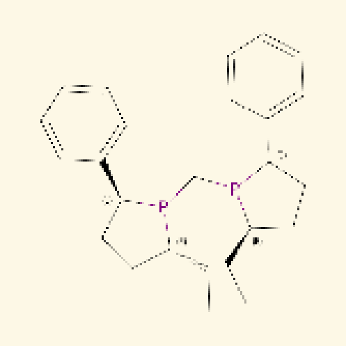 CC[C@@H]1CC[C@@H](c2ccccc2)P1CP1[C@H](CC)CC[C@H]1c1ccccc1